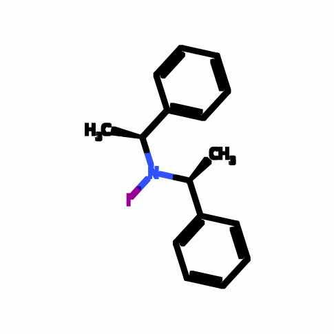 C[C@@H](c1ccccc1)N(I)[C@@H](C)c1ccccc1